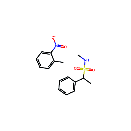 CNS(=O)(=O)C(C)c1ccccc1.Cc1ccccc1[N+](=O)[O-]